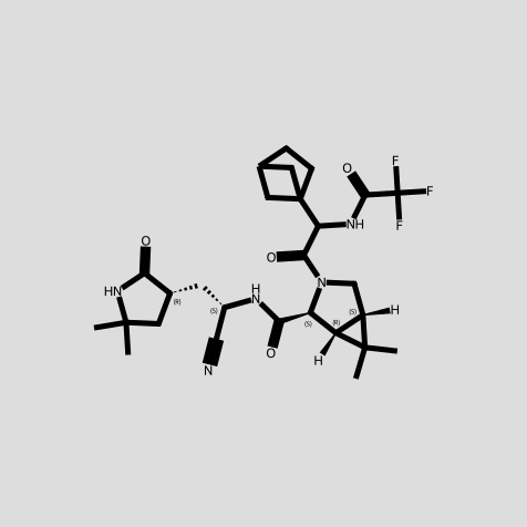 CC1(C)C[C@@H](C[C@@H](C#N)NC(=O)[C@@H]2[C@@H]3[C@H](CN2C(=O)C(NC(=O)C(F)(F)F)C24CCC(C2)C4)C3(C)C)C(=O)N1